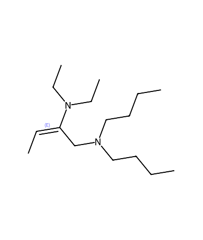 C/C=C(\CN(CCCC)CCCC)N(CC)CC